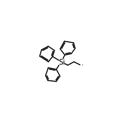 [CH2]CC[Si](c1ccccc1)(c1ccccc1)c1ccccc1